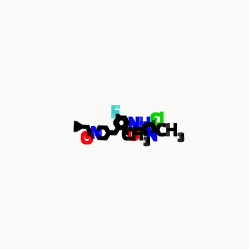 Cc1ncc(C(=O)Nc2cc(F)cc(C=C3CCN(C(=O)CC4CC4)CC3)c2C)cc1Cl